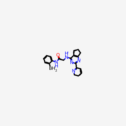 Bc1ccccc1NC(=O)CNc1nc(C2=NCCC=C2)nc2c1CCC2